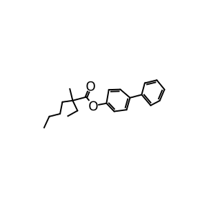 CCCCC(C)(CC)C(=O)Oc1ccc(-c2ccccc2)cc1